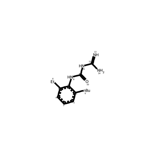 CCCCc1cccc(CC)c1NC(=O)NC(=N)N